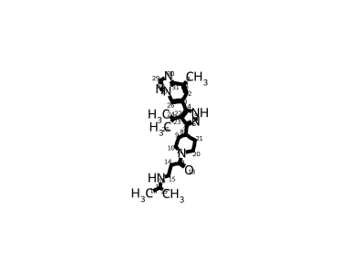 Cc1cc(-c2[nH]nc(C3CCN(C(=O)CCNC(C)C)CC3)c2C(C)C)cn2ncnc12